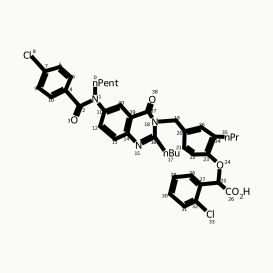 CCCCCN(C(=O)c1ccc(Cl)cc1)c1ccc2nc(CCCC)n(Cc3ccc(OC(C(=O)O)c4ccccc4Cl)c(CCC)c3)c(=O)c2c1